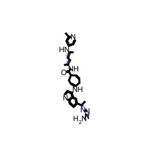 C/C(=C\C=C(/C)Nc1ccnc(C)c1)NC(=O)C1C=CCC(Nc2ccnc3ccc(/C(C)=N/N=N\N)cc23)=CC1